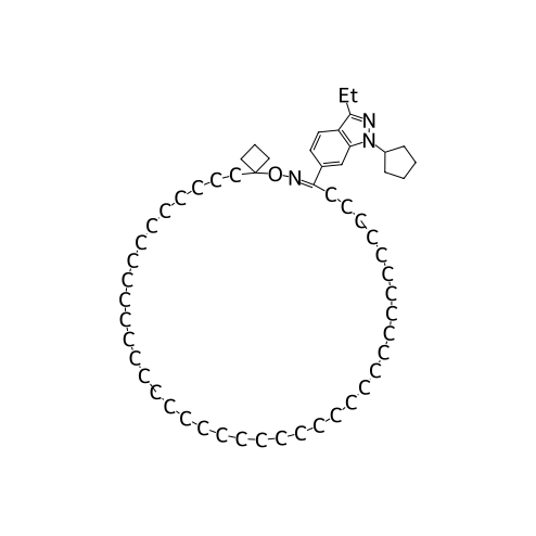 CCc1nn(C2CCCC2)c2cc(C3=NOC4(CCCCCCCCCCCCCCCCCCCCCCCCCCCCCCCCCCCCCC3)CCC4)ccc12